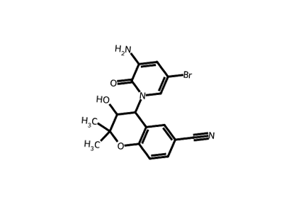 CC1(C)Oc2ccc(C#N)cc2C(n2cc(Br)cc(N)c2=O)C1O